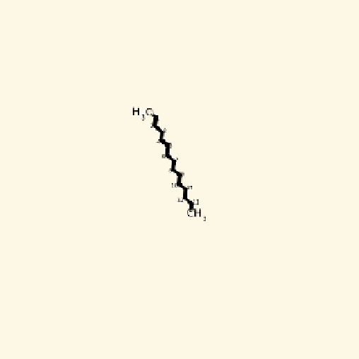 C/C=C/C/C=C/CCCCCCCCC